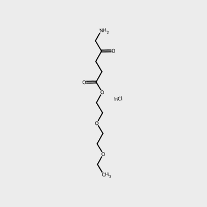 CCOCCOCCOC(=O)CCC(=O)CN.Cl